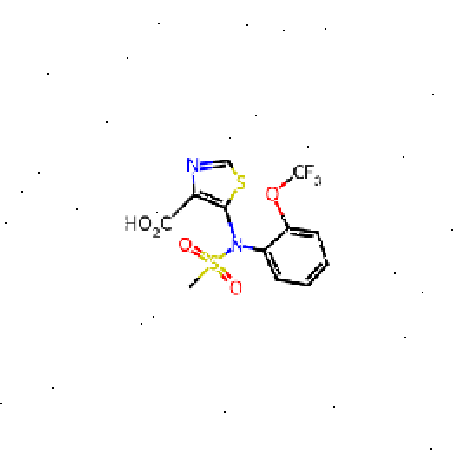 CS(=O)(=O)N(c1ccccc1OC(F)(F)F)c1scnc1C(=O)O